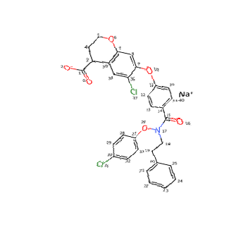 O=C([O-])C1CCOc2cc(Oc3ccc(C(=O)N(CCc4ccccc4)Oc4ccc(Cl)cc4)cc3)c(Cl)cc21.[Na+]